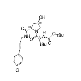 CC(C)(C)OC(=O)N[C@H](C(=O)N1C[C@H](O)C[C@H]1C(=O)NCC#Cc1ccc(Cl)cc1)C(C)(C)C